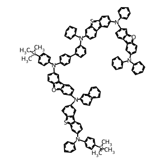 C[Si](C)(C)c1ccc(N(c2ccccc2)c2ccc3c(c2)sc2ccc(N(c4ccc5ccccc5c4)c4ccc5c(c4)oc4ccc(N(c6ccc(-c7cccc(N(c8ccccc8)c8ccc9c(c8)sc8ccc(N(c%10ccccc%10)c%10ccc%11c(c%10)oc%10ccc(N(c%12ccccc%12)c%12ccccc%12)cc%10%11)cc89)c7)cc6)c6ccc([Si](C)(C)C)cc6)cc45)cc23)cc1